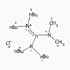 CCCCN(CCCC)C(N(C)C)=[N+](CCCC)CCCC.[Cl-]